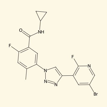 Cc1cc(F)c(C(=O)NC2CC2)cc1-n1cc(-c2cc(Br)cnc2F)nn1